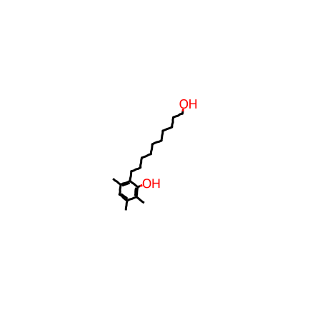 Cc1cc(C)c(CCCCCCCCCCO)c(O)c1C